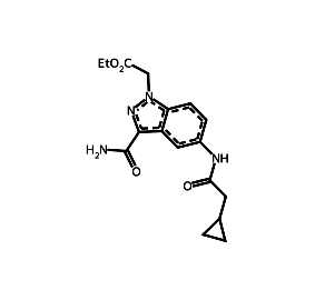 CCOC(=O)Cn1nc(C(N)=O)c2cc(NC(=O)CC3CC3)ccc21